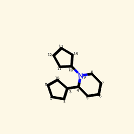 C1CCC(C2CCCCN2C2CCCC2)C1